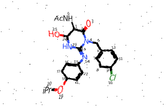 CC(=O)NC1C(=O)N(CC2=CCC(Cl)C=C2)/C(=N/C2=CCC(OC(C)C)C=C2)NC1O